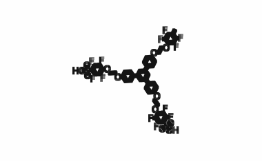 Cc1c(F)c(F)c(OCCOc2ccc(-c3cc(-c4ccc(OCCOc5c(F)c(F)c(S(=O)(=O)O)c(F)c5F)cc4)cc(-c4ccc(OCCOc5c(F)c(F)c(S(=O)(=O)O)c(F)c5F)cc4)c3)cc2)c(F)c1F